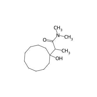 CC(C(=O)N(C)C)C1(O)CCCCCCCCC1